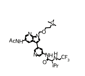 CC(=O)Nc1cnc2c(c1)c(-c1cncc(NC(=O)[C@@H](NCC(F)(F)F)C(C)C)c1)cn2COCC[Si](C)(C)C